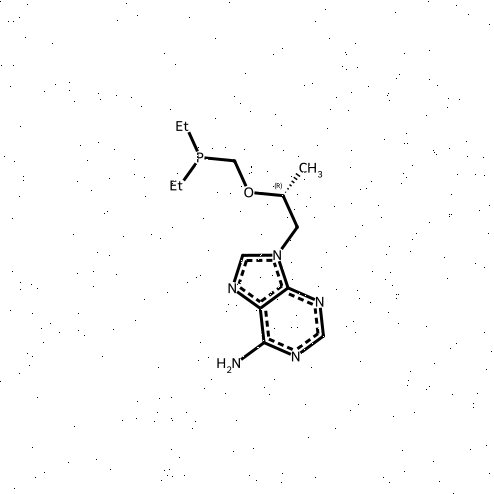 CCP(CC)CO[C@H](C)Cn1cnc2c(N)ncnc21